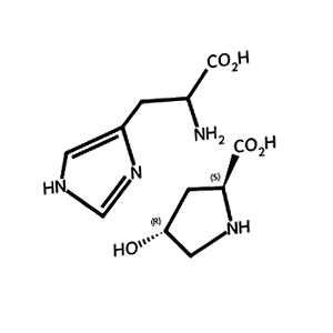 NC(Cc1c[nH]cn1)C(=O)O.O=C(O)[C@@H]1C[C@@H](O)CN1